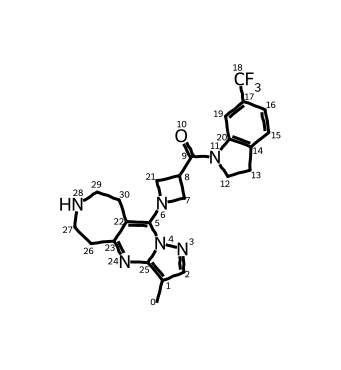 Cc1cnn2c(N3CC(C(=O)N4CCc5ccc(C(F)(F)F)cc54)C3)c3c(nc12)CCNCC3